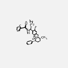 CC(NC(=O)c1cncs1)c1cc(F)c(CN2[C@H](C)CC[C@@H](c3ccccc3)S2(=O)=O)cc1F